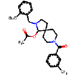 CC(C)COc1ccccc1CN1CCC2(CCN(C(=O)c3cccc(C(F)(F)F)c3)CC2)C1OC(=O)C(F)(F)F